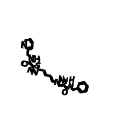 O=C(NCc1ccccc1)c1cn(CCCCc2nnc(C(=O)NCc3ccccn3)s2)nn1